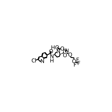 O=C(N[C@H]1CC[C@H](c2nnc(OCCOC(F)(F)F)o2)N(C(=O)O)C1)c1ccc2cc(Cl)cnc2c1